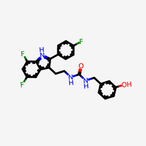 O=C(NCCc1c(-c2ccc(F)cc2)[nH]c2c(F)cc(F)cc12)NCc1cccc(O)c1